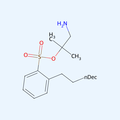 CCCCCCCCCCCCc1ccccc1S(=O)(=O)OC(C)(C)CN